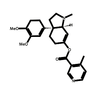 COC1=C(OC)CCC([C@@]23CCC(OC(=O)c4cnccc4C)=C[C@@H]2N(C)CC3)=C1